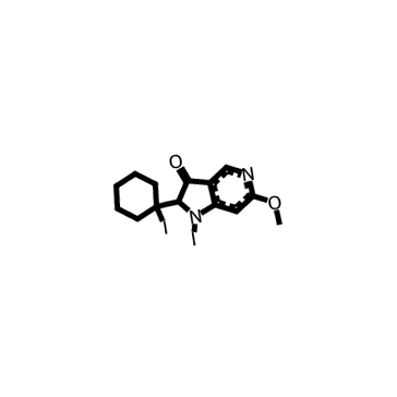 COc1cc2c(cn1)C(=O)C(C1(I)CCCCC1)N2I